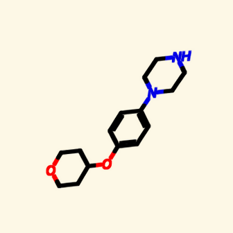 c1cc(N2CCNCC2)ccc1OC1CCOCC1